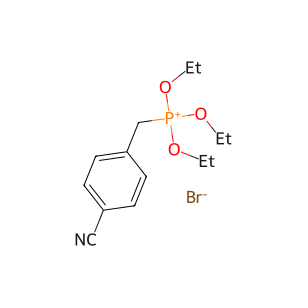 CCO[P+](Cc1ccc(C#N)cc1)(OCC)OCC.[Br-]